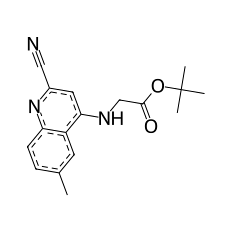 Cc1ccc2nc(C#N)cc(NCC(=O)OC(C)(C)C)c2c1